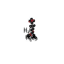 CC1(C)c2ccccc2-c2ccc(N(c3ccc4c(c3)C(C)(C)c3ccccc3-4)c3ccc4c(c3)C(C)(C)c3cc(-c5c6ccccc6c(-c6ccc7c(c6)-c6ccccc6C7(c6ccccc6)c6ccccc6)c6ccccc56)ccc3-4)cc21